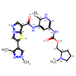 Cc1nn(C)cc1-c1cn2ncc(C(=O)NC3=CC(NC(=O)OCC4CCCN4C)=CNC3C)c2s1